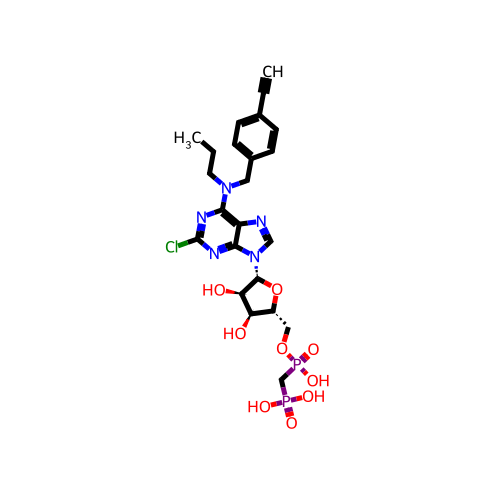 C#Cc1ccc(CN(CCC)c2nc(Cl)nc3c2ncn3[C@@H]2O[C@H](COP(=O)(O)CP(=O)(O)O)[C@@H](O)[C@H]2O)cc1